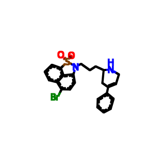 O=S1(=O)c2cccc3c(Br)ccc(c23)N1CCCC1CC(c2ccccc2)=CCN1